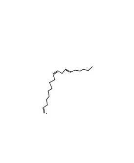 [CH]=CCCCCCCC/C=C\CC=CCCCCC